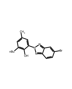 CCCCc1cc(C)cc(-n2nc3ccc(Br)cc3n2)c1O